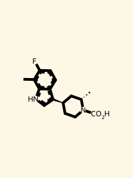 Cc1c(F)ccc2c([C@@H]3CCN(C(=O)O)[C@@H](C)C3)c[nH]c12